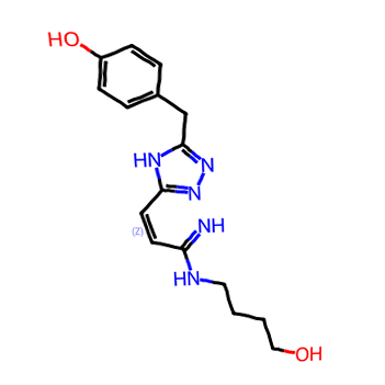 N=C(/C=C\c1nnc(Cc2ccc(O)cc2)[nH]1)NCCCCO